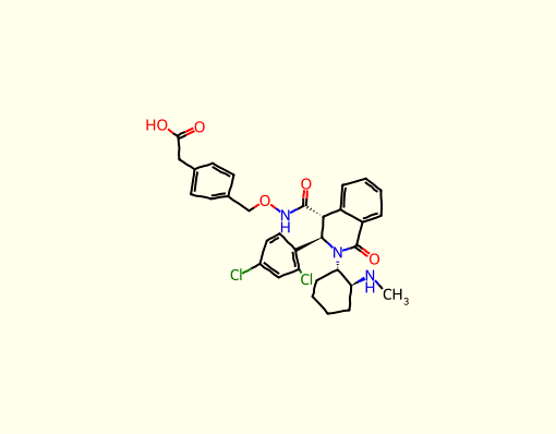 CN[C@H]1CCCC[C@@H]1N1C(=O)c2ccccc2[C@@H](C(=O)NOCc2ccc(CC(=O)O)cc2)[C@@H]1c1ccc(Cl)cc1Cl